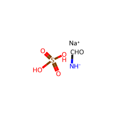 O=S(=O)(O)O.[NH-]C=O.[Na+]